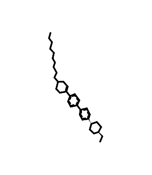 CCCCCCCCCCC1CC=C(c2ccc(-c3ccc([C@H]4CC[C@H](CC)CC4)cc3)cc2)CC1